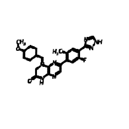 COC1CCC(CN2CC(=O)Nc3ncc(-c4cc(F)c(-c5nc[nH]n5)cc4C)nc32)CC1